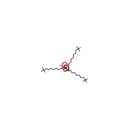 CC(C)(C)CCCCCCCC[Si]([O])(CCCCCCCCC(C)(C)C)CCCCCCCCC(C)(C)C